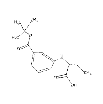 CCC(Nc1cccc(C(=O)OC(C)(C)C)c1)C(=O)O